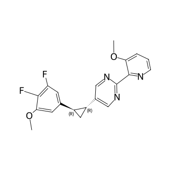 COc1cccnc1-c1ncc([C@@H]2C[C@H]2c2cc(F)c(F)c(OC)c2)cn1